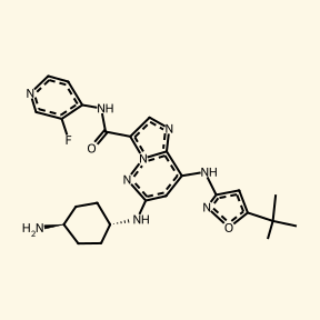 CC(C)(C)c1cc(Nc2cc(N[C@H]3CC[C@H](N)CC3)nn3c(C(=O)Nc4ccncc4F)cnc23)no1